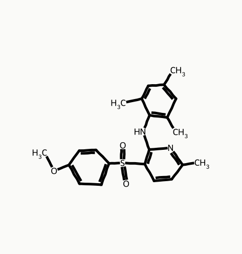 COc1ccc(S(=O)(=O)c2ccc(C)nc2Nc2c(C)cc(C)cc2C)cc1